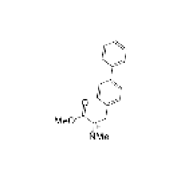 CN[C@@H](Cc1ccc(-c2ccccc2)cc1)C(=O)OC